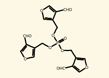 O=Cc1cocc1COP(=O)(OCc1cocc1C=O)OCc1cocc1C=O